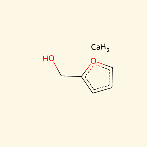 OCc1ccco1.[CaH2]